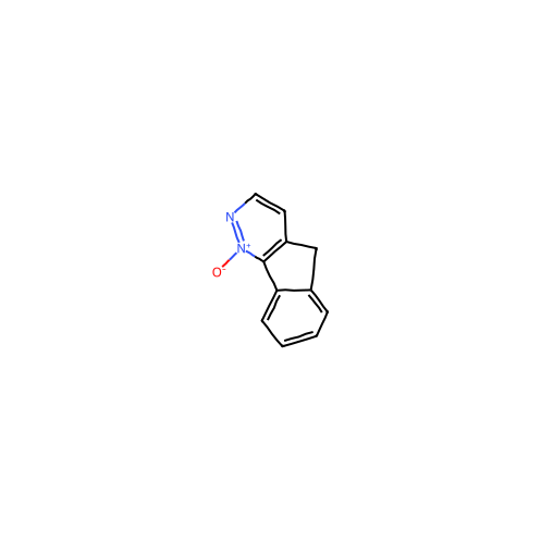 [O-][n+]1nccc2c1-c1ccccc1C2